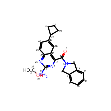 Nc1nc(C(=O)N2Cc3ccccc3C2)c2cc(C3CCC3)ccc2n1.O=C(O)O